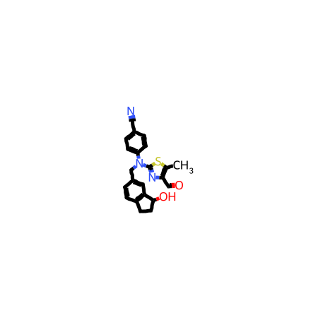 Cc1sc(N(Cc2ccc3c(c2)C(O)CC3)c2ccc(C#N)cc2)nc1C=O